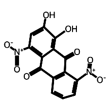 O=C1c2cccc([N+](=O)[O-])c2C(=O)c2c(O)c(O)cc([N+](=O)[O-])c21